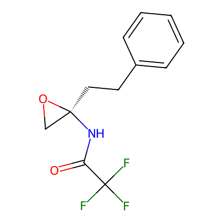 O=C(N[C@@]1(CCc2ccccc2)CO1)C(F)(F)F